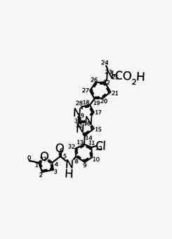 Cc1ccc(C(=O)Nc2ccc(Cl)c(-c3cn4cc(-c5ccc(N(C)C(=O)O)cc5)cnc4n3)c2)o1